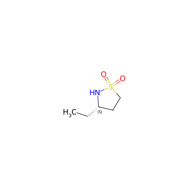 CC[C@H]1CCS(=O)(=O)N1